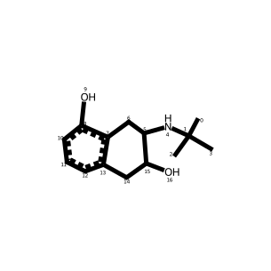 CC(C)(C)NC1Cc2c(O)cccc2CC1O